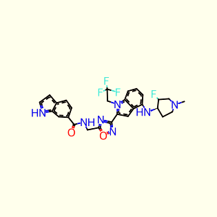 CN1CC[C@@H](Nc2cccc3c2cc(-c2noc(CNC(=O)c4ccc5cc[nH]c5c4)n2)n3CC(F)(F)F)[C@@H](F)C1